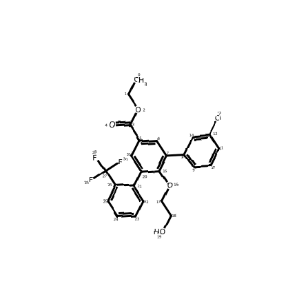 CCOC(=O)c1cc(-c2cccc(Cl)c2)c(OCCO)c(-c2ccccc2C(F)(F)F)c1